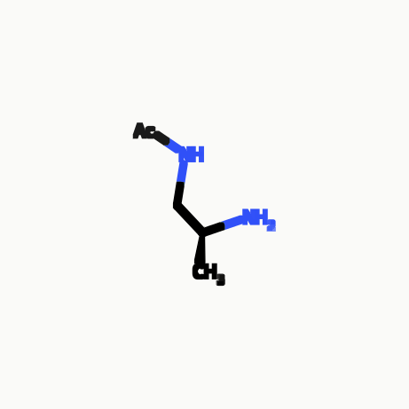 CC(=O)NC[C@H](C)N